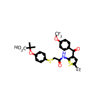 CCc1cc(C(=O)c2ccc(OC(F)(F)F)cc2)c(NC(=O)CSc2ccc(OC(C)(C)C(=O)O)cc2)s1